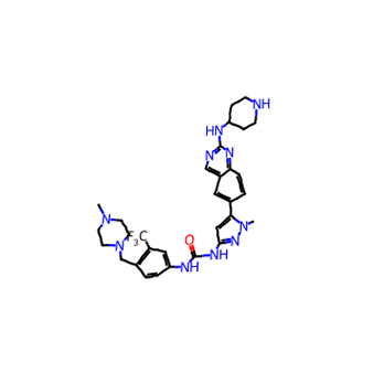 CN1CCN(Cc2ccc(NC(=O)Nc3cc(-c4ccc5nc(NC6CCNCC6)ncc5c4)n(C)n3)cc2C(F)(F)F)CC1